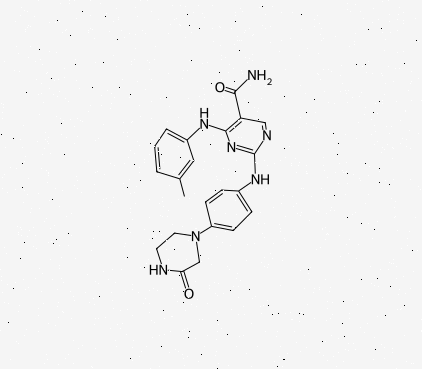 Cc1cccc(Nc2nc(Nc3ccc(N4CCNC(=O)C4)cc3)ncc2C(N)=O)c1